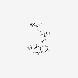 CN(C)CCCN(C)CCN1CCCc2ccc(N)cc21